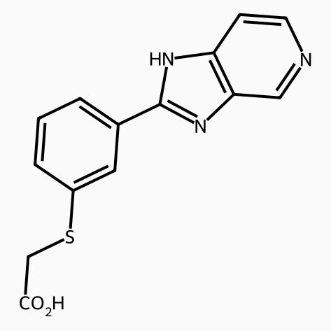 O=C(O)CSc1cccc(-c2nc3cnccc3[nH]2)c1